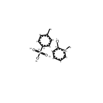 C[n+]1ccccc1Cl.Cc1ccc(S(=O)(=O)[O-])cc1